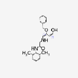 Cc1cccc(C)c1NC(=O)CN/C=C(\C=C/O)OCc1ccccc1